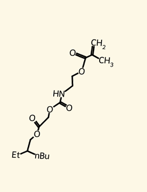 C=C(C)C(=O)OCCNC(=O)OCC(=O)OCC(CC)CCCC